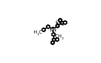 CC1=C(c2cc3ccccc3c3c2=CCCC=3)CCC(c2nc(-c3ccc(-c4cc5c(c6ccccc46)C=CCC5)c(C)c3)cc(C3C=CC=C(C4=CCC(C)C=C4)C3)n2)=C1